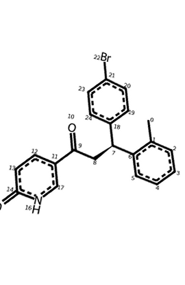 Cc1ccccc1[C@@H](CC(=O)c1ccc(=O)[nH]c1)c1ccc(Br)cc1